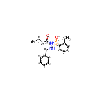 Cc1ccccc1[PH](=O)N(NCc1ccccc1)C(=O)CCC(C)C